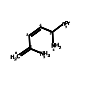 C=C(N)/C=C\C(N)CCC